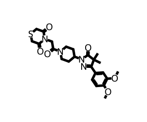 COc1ccc(C2=NN(C3CCN(C(=O)CN4C(=O)CSCC4=O)CC3)C(=O)C2(C)C)cc1OC